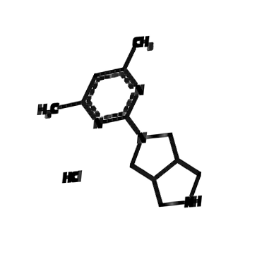 Cc1cc(C)nc(N2CC3CNCC3C2)n1.Cl